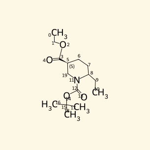 CCOC(=O)[C@H]1CCC(CC)N(C(=O)OC(C)(C)C)C1